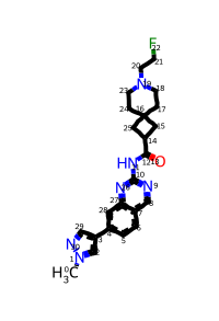 Cn1cc(-c2ccc3cnc(NC(=O)C4CC5(CCN(CCF)CC5)C4)nc3c2)cn1